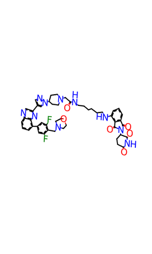 O=C(CN1CCC(n2cc(-c3cnc4cccc(-c5cc(F)c(CN6CCOCC6)c(F)c5)c4n3)cn2)CC1)NCCCCCCNc1cccc2c1C(=O)N(C1CCC(=O)NC1=O)C2=O